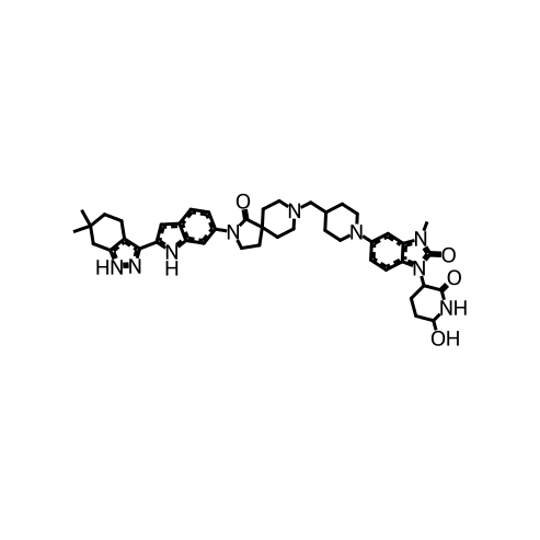 Cn1c(=O)n(C2CCC(O)NC2=O)c2ccc(N3CCC(CN4CCC5(CC4)CCN(c4ccc6cc(-c7n[nH]c8c7CCC(C)(C)C8)[nH]c6c4)C5=O)CC3)cc21